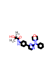 CC(C)(O)C(=O)Nc1ccc(-c2ccnc(N(c3ccccc3)N3CCOCC3)n2)cc1